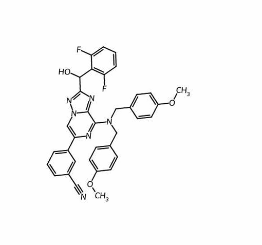 COc1ccc(CN(Cc2ccc(OC)cc2)c2nc(-c3cccc(C#N)c3)cn3nc(C(O)c4c(F)cccc4F)nc23)cc1